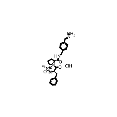 CCS(=O)(=O)N[C@H](Cc1ccccc1)C(=O)N1CCC[C@H]1C(=O)NCc1ccc(C=NN)cc1.Cl